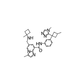 Cc1cnc2c(C(=O)Nc3cccc(C4(c5nncn5C)CC(C)C4)c3)cc(CNC3(C)CCC3)cn12